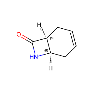 O=C1N[C@@H]2CC=CC[C@H]12